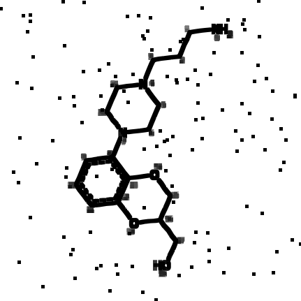 NCCCN1CCN(c2cccc3c2OCC(CO)O3)CC1